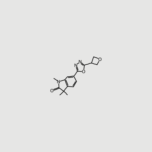 CN1C(=O)C(C)(C)c2ccc(-c3nnc(C4COC4)o3)cc21